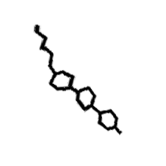 CCCCCCC1CCC(C2CCC(C3CCC(C)CC3)CC2)CC1